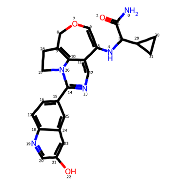 NC(=O)C(NC1=COCC2=C3C1=CN=C(c1ccc4ncc(O)cc4c1)N3CC2)C1CC1